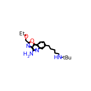 CCOCc1nc2c(N)nc3cc(CCCCCNC(C)(C)C)ccc3c2o1